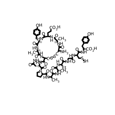 CCC(NC(=O)[C@H](C)NC(=O)C(C)NC(=O)C1CCCN1C(=O)[C@H](CC(N)=O)NC(=O)C1CSSCC(N)C(=O)N[C@@H](C)C(=O)NC(CCC(=O)O)C(=O)N[C@@H](Cc2ccc(O)cc2)C(=O)N[C@H](C)C(=O)N1)C(=O)NCC(=O)NC(CSS)C(=O)N[C@@H](Cc1ccc(O)cc1)C(=O)O